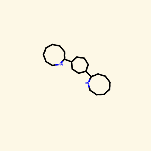 C1CCCNC(C2CCCC(C3CCCCCCCN3)CC2)CCC1